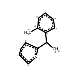 C[C](c1ccccn1)c1ccccc1C